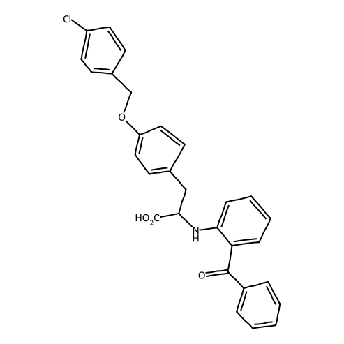 O=C(c1ccccc1)c1ccccc1NC(Cc1ccc(OCc2ccc(Cl)cc2)cc1)C(=O)O